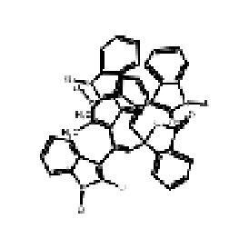 CCn1c(C)c(C(=CC2(C=C(c3c(C)n(CC)c4ccccc34)c3c(C)n(CC)c4ccccc34)OC(=O)c3ccccc32)c2c(C)n(CC)c3ccccc23)c2ccccc21